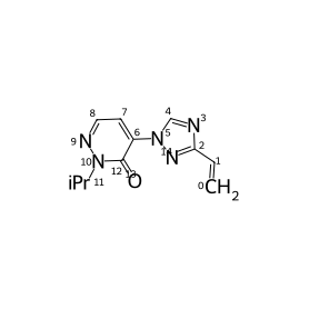 C=Cc1ncn(-c2ccnn(C(C)C)c2=O)n1